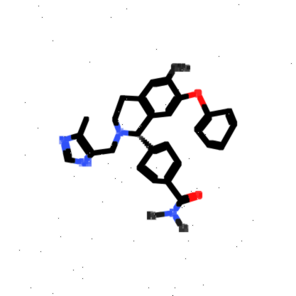 CCN(CC)C(=O)c1ccc([C@H]2c3cc(Oc4ccccc4)c(OC)cc3CCN2Cc2[nH]cnc2C)cc1